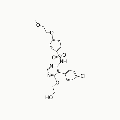 COCCOc1ccc(S(=O)(=O)Nc2ncnc(OCCO)c2-c2ccc(Cl)cc2)cc1